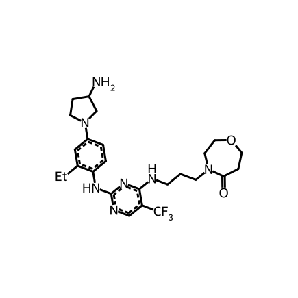 CCc1cc(N2CCC(N)C2)ccc1Nc1ncc(C(F)(F)F)c(NCCCN2CCOCCC2=O)n1